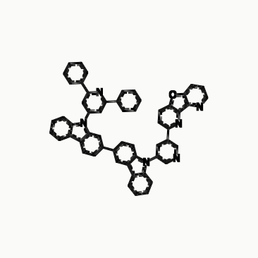 c1ccc(-c2cc(-n3c4ccccc4c4ccc(-c5ccc6c(c5)c5ccccc5n6-c5cncc(-c6ccc7oc8cccnc8c7n6)c5)cc43)cc(-c3ccccc3)n2)cc1